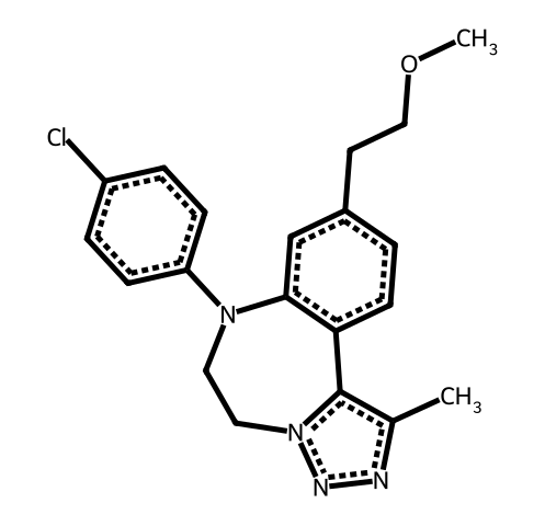 COCCc1ccc2c(c1)N(c1ccc(Cl)cc1)CCn1nnc(C)c1-2